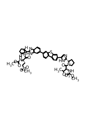 COC(=O)N[C@@H](CCS(C)(=O)=O)C(=O)N1C(c2nc3ccc(-c4ccc5c(c4)sc4cc(-c6cnc([C@@H]7CCCN7C(=O)[C@@H](NC(=O)OC)C(C)C)[nH]6)ccc45)cc3[nH]2)[C@H]2CC[C@@H]1C2